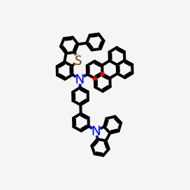 c1ccc(-c2cccc3c2sc2c(N(c4ccc(-c5cccc(-n6c7ccccc7c7ccccc76)c5)cc4)c4ccc(-c5cccc6cccc(-c7ccccc7)c56)cc4)cccc23)cc1